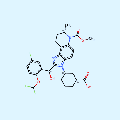 COC(=O)N1c2ccc3c(nc([C@@H](O)c4cc(F)ccc4OC(F)F)n3[C@@H]3CCC[C@@H](C(=O)O)C3)c2CC[C@@H]1C